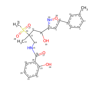 Cc1cccc(-c2cc(C(O)CC(C)(CNC(=O)c3ccccc3O)S(C)(=O)=O)no2)c1